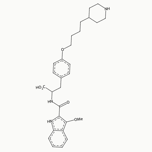 COc1c(C(=O)NC(Cc2ccc(OCCCCC3CCNCC3)cc2)C(=O)O)[nH]c2ccccc12